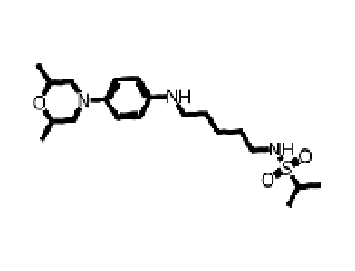 CC1CN(c2ccc(NCCCCCNS(=O)(=O)C(C)C)cc2)CC(C)O1